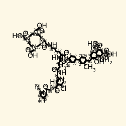 Cc1cc(-c2ccc(NC(=O)C(CCCCNC(=O)CN3CCN(CC(=O)O)CCN(CC(=O)O)CCN(CC(=O)O)CC3)NC(=O)CCC(=O)NCc3cc(C(=O)NCC(=O)N4CC(F)(F)C[C@H]4C#N)c(Cl)cn3)c(C)c2)ccc1Cc1ccc2c(S(=O)(=O)O)cc(S(=O)(=O)O)c(N)c2c1O